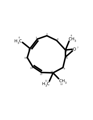 CC1=CCCC2(C)OC2CC(C)(C)C=CC1